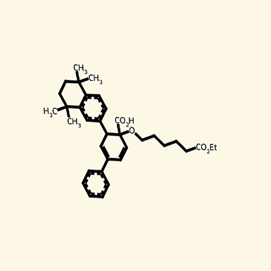 CCOC(=O)CCCCCOC1(C(=O)O)C=CC(c2ccccc2)=CC1c1ccc2c(c1)C(C)(C)CCC2(C)C